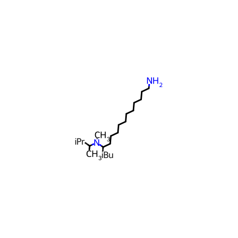 CCC(C)C(CCCCCCCCCCCN)N(C)C(C)C(C)C